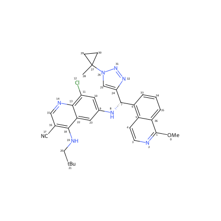 COc1nccc2c([C@H](Nc3cc(Cl)c4ncc(C#N)c(NCC(C)(C)C)c4c3)c3cn(C4(C)CC4)nn3)cccc12